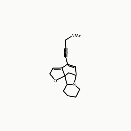 CNCC#CC1=CC2CC3(OCC=C13)C1CCCCN21